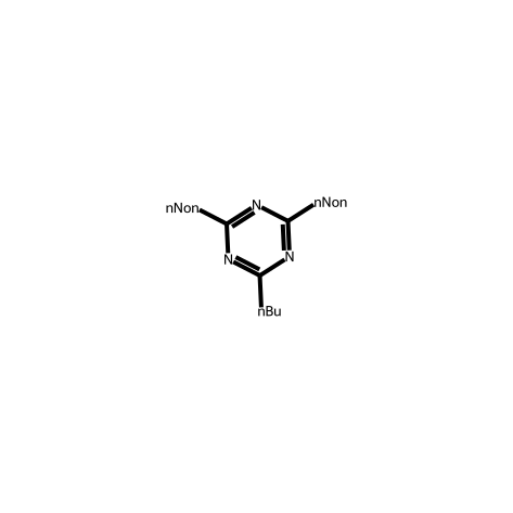 [CH2]CCCc1nc(CCCCCCCCC)nc(CCCCCCCCC)n1